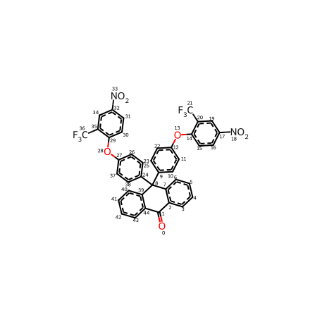 O=C1c2ccccc2C(c2ccc(Oc3ccc([N+](=O)[O-])cc3C(F)(F)F)cc2)(c2ccc(Oc3ccc([N+](=O)[O-])cc3C(F)(F)F)cc2)c2ccccc21